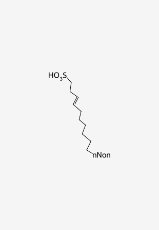 CCCCCCCCCCCCCCCC=CCCS(=O)(=O)O